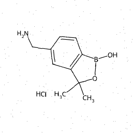 CC1(C)OB(O)c2ccc(CN)cc21.Cl